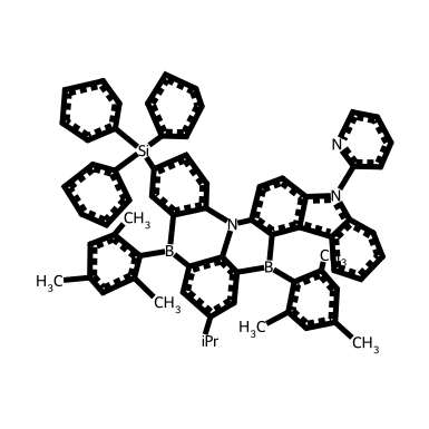 Cc1cc(C)c(B2c3cc([Si](c4ccccc4)(c4ccccc4)c4ccccc4)ccc3N3c4ccc5c(c4B(c4c(C)cc(C)cc4C)c4cc(C(C)C)cc2c43)c2ccccc2n5-c2ccccn2)c(C)c1